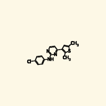 Cc1cc(-c2ccnc(Nc3ccc(Cl)cc3)n2)c(C)s1